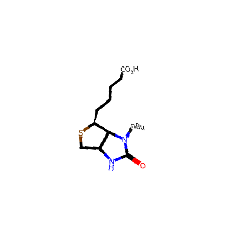 CCCCN1C(=O)NC2CS[C@@H](CCCCC(=O)O)C21